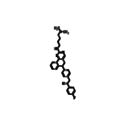 CN(C)CCCCNc1ncc2c(n1)-c1ccccc1C(c1ccc(CC(=O)c3ccc(F)cc3)cc1)C2